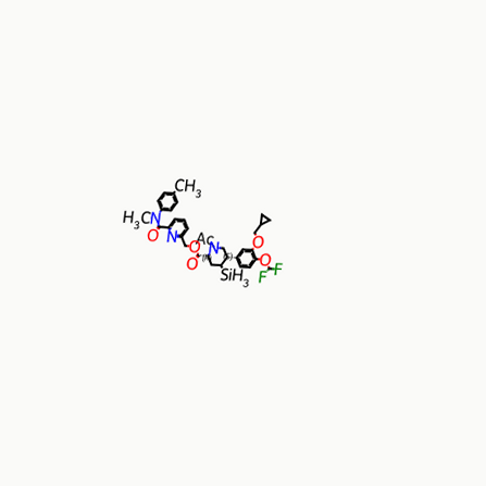 CC(=O)N1C[C@H](c2ccc(OC(F)F)c(OCC3CC3)c2)C([SiH3])C[C@@H]1C(=O)OCc1cccc(C(=O)N(C)c2ccc(C)cc2)n1